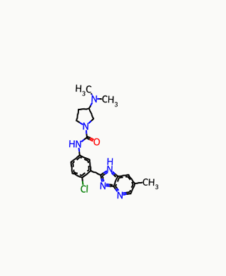 Cc1cnc2nc(-c3cc(NC(=O)N4CCC(N(C)C)C4)ccc3Cl)[nH]c2c1